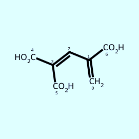 C=C(C=C(C(=O)O)C(=O)O)C(=O)O